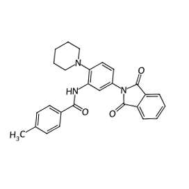 Cc1ccc(C(=O)Nc2cc(N3C(=O)c4ccccc4C3=O)ccc2N2CCCCC2)cc1